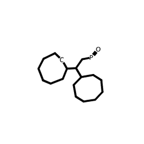 O=PCC(C1CCCCCCC1)C1CCCCCCC1